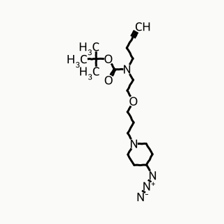 C#CCCN(CCOCCCN1CCC(N=[N+]=[N-])CC1)C(=O)OC(C)(C)C